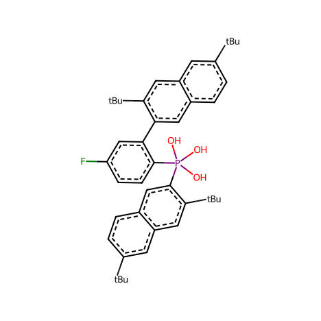 CC(C)(C)c1ccc2cc(-c3cc(F)ccc3P(O)(O)(O)c3cc4ccc(C(C)(C)C)cc4cc3C(C)(C)C)c(C(C)(C)C)cc2c1